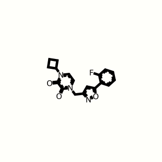 O=c1c(=O)n(C2CCC2)ccn1Cc1cc(-c2ccccc2F)on1